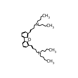 CCCCN(CCC=Cc1cccc2c1oc1c(C=CCCN(CCCC)CCCC)cccc12)CCCC